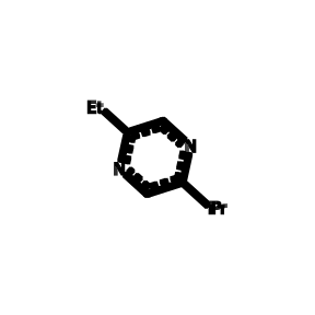 CCc1cnc(C(C)C)cn1